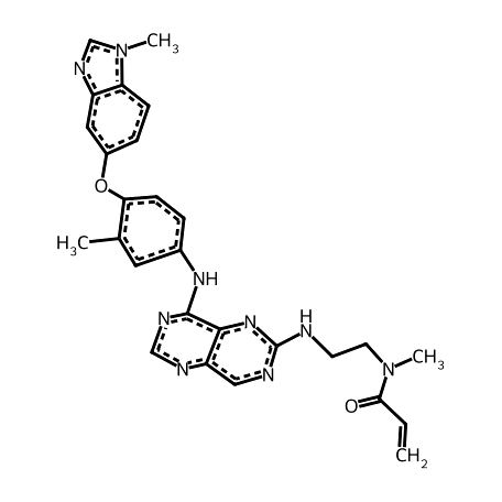 C=CC(=O)N(C)CCNc1ncc2ncnc(Nc3ccc(Oc4ccc5c(c4)ncn5C)c(C)c3)c2n1